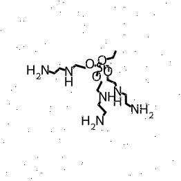 CC[O][Sn]([O]CCNCCN)([O]CCNCCN)[O]CCNCCN